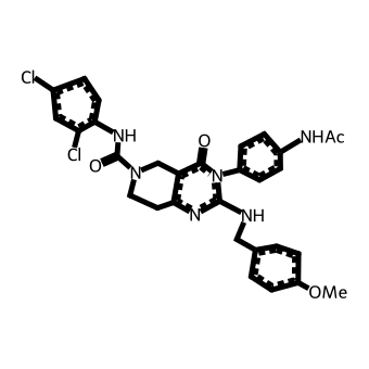 COc1ccc(CNc2nc3c(c(=O)n2-c2ccc(NC(C)=O)cc2)CN(C(=O)Nc2ccc(Cl)cc2Cl)CC3)cc1